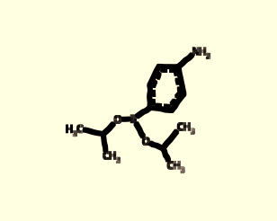 CC(C)OB(OC(C)C)c1ccc(N)cc1